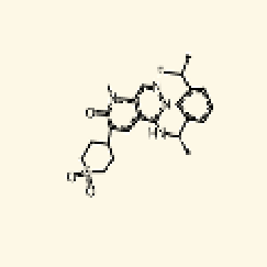 C[C@@H](Nc1nncc2c1cc(C1CCS(=O)(=O)CC1)c(=O)n2C)c1cccc(C(F)F)c1